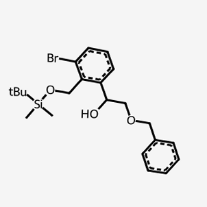 CC(C)(C)[Si](C)(C)OCc1c(Br)cccc1C(O)COCc1ccccc1